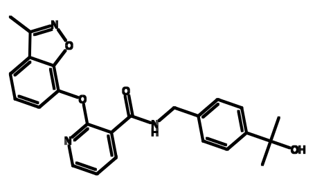 Cc1noc2c(Oc3ncccc3C(=O)NCc3ccc(C(C)(C)O)cc3)cccc12